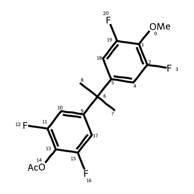 COc1c(F)cc(C(C)(C)c2cc(F)c(OC(C)=O)c(F)c2)cc1F